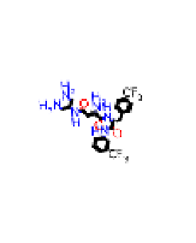 NCC(CN)NC(=O)C[C@H](N)C(=O)N[C@@H](Cc1ccc(C(F)(F)F)cc1)C(=O)Nc1cccc(C(F)(F)F)c1